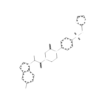 CC(C(=O)N1CCN(c2ccc(S(=O)(=O)Nc3nccs3)cc2)C(=O)C1)n1ccc2cc(Cl)ccc21